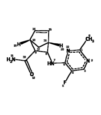 Cc1ncc(F)c(NC2C(C(N)=O)[C@@H]3C=C[C@H]2C3)n1